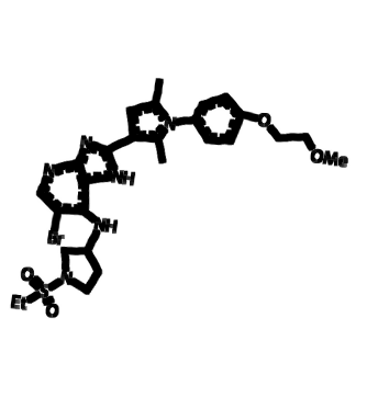 CCS(=O)(=O)N1CCC(Nc2c(Br)cnc3nc(-c4cc(C)n(-c5ccc(OCCOC)cc5)c4C)[nH]c23)C1